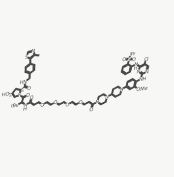 COc1cc(N2CCC(N3CCN(C(=O)CCOCCOCCOCCOCCC(=O)NC(C(=O)N4C[C@H](O)C[C@H]4C(=O)NCc4ccc(-c5scnc5C)cc4)C(C)(C)C)CC3)CC2)ccc1Nc1ncc(Cl)c(Nc2ccccc2S(=O)(=O)C(C)C)n1